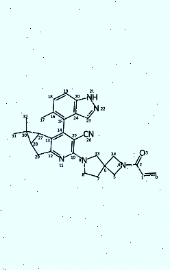 C=CC(=O)N1CC2(CCN(c3nc4c(c(-c5c(C)ccc6[nH]ncc56)c3C#N)C3C(C4)C3(C)C)C2)C1